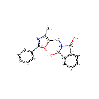 Cc1nc(-c2ccccc2)oc1CN1C(=O)c2ccccc2C1=O